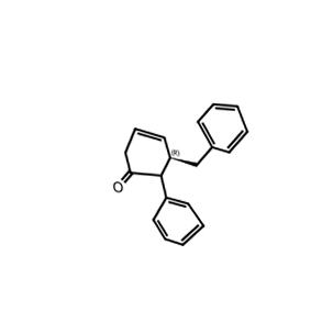 O=C1CC=C[C@@H](Cc2ccccc2)C1c1ccccc1